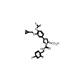 O=C(O)[C@@H]1CC(c2ccc(OC(F)F)c(OCC3CC3)c2)CN1C(=O)NCc1ccc(F)cc1F